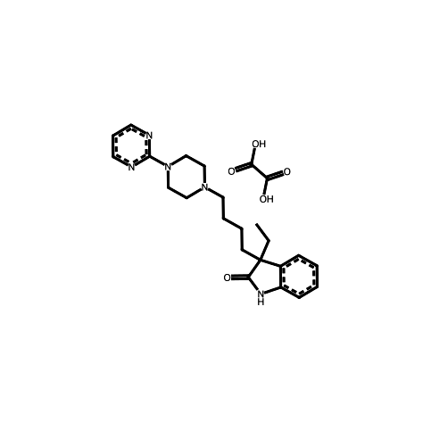 CCC1(CCCCN2CCN(c3ncccn3)CC2)C(=O)Nc2ccccc21.O=C(O)C(=O)O